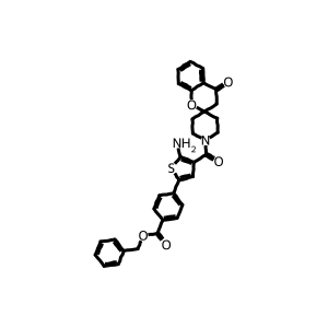 Nc1sc(-c2ccc(C(=O)OCc3ccccc3)cc2)cc1C(=O)N1CCC2(CC1)CC(=O)c1ccccc1O2